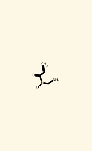 C=CC(=O)N(CC)CN